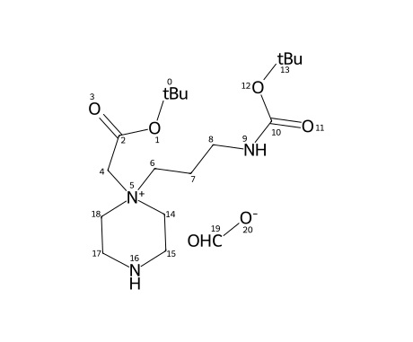 CC(C)(C)OC(=O)C[N+]1(CCCNC(=O)OC(C)(C)C)CCNCC1.O=C[O-]